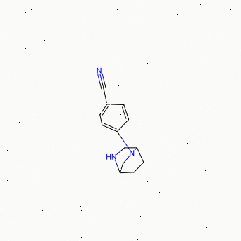 N#Cc1ccc(N2CC3CCC2CN3)cc1